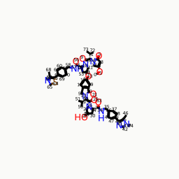 COC1=CC(=O)N([C@H](C(=O)N2C[C@H](Oc3ccc4c(c3)C(=O)N([C@H](C(=O)N3C[C@H](O)C[C@H]3C(=O)NCc3ccc(-c5ncn(C)c5C)cc3)C(C)C)C4)C[C@H]2C(=O)NCc2ccc(-c3scnc3C)cc2)C(C)C)C1